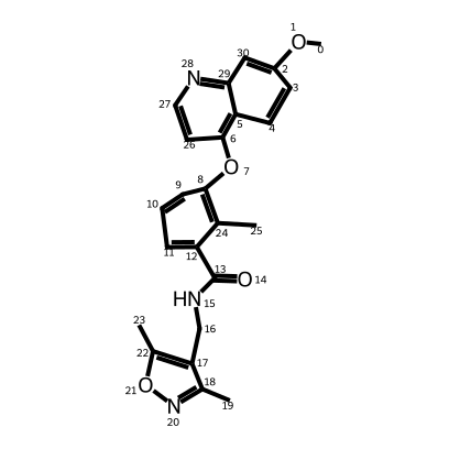 COc1ccc2c(Oc3cccc(C(=O)NCc4c(C)noc4C)c3C)ccnc2c1